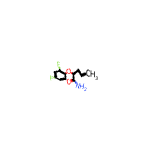 CCCC(Oc1ccc(F)cc1F)C(N)=O